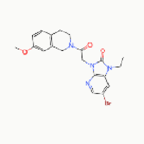 CCn1c(=O)n(CC(=O)N2CCc3ccc(OC)cc3C2)c2ncc(Br)cc21